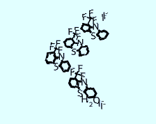 FC(F)(F)c1cccc2[s+]c3ccccc3nc12.FC(F)(F)c1cccc2[s+]c3ccccc3nc12.FC(F)(F)c1cccc2[s+]c3ccccc3nc12.FC(F)(F)c1cccc2[s+]c3ccccc3nc12.O.[I-].[I-].[I-].[I-]